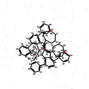 [CH3][Zr]([CH3])(=[SiH2])([CH]1C(CC2CCCCCC2)=Cc2c(-c3ccccc3)ccc(-c3ccccc3)c21)[CH]1C(CC2CCCCCC2)=Cc2c(-c3ccccc3)ccc(-c3ccccc3)c21